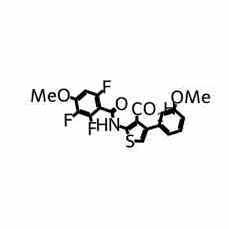 COc1cccc(-c2csc(NC(=O)c3c(F)cc(OC)c(F)c3F)c2C(=O)O)c1